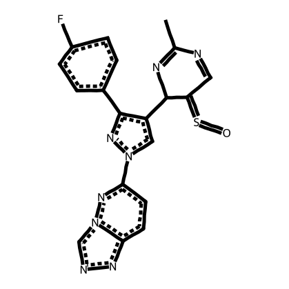 CC1=NC(c2cn(-c3ccc4nncn4n3)nc2-c2ccc(F)cc2)C(=S=O)C=N1